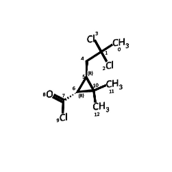 CC(Cl)(Cl)C[C@@H]1[C@@H](C(=O)Cl)C1(C)C